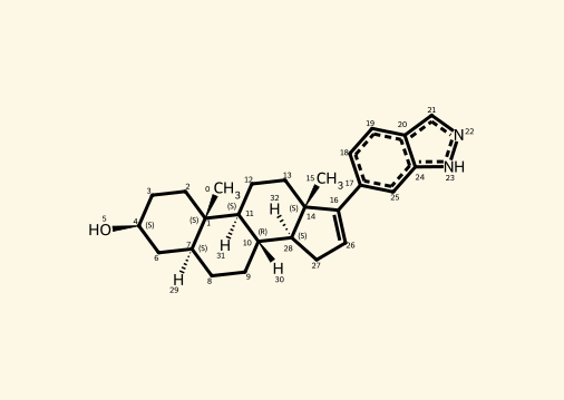 C[C@]12CC[C@H](O)C[C@@H]1CC[C@@H]1[C@@H]2CC[C@]2(C)C(c3ccc4cn[nH]c4c3)=CC[C@@H]12